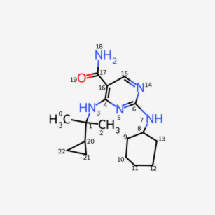 CC(C)(Nc1nc(NC2CCCCC2)ncc1C(N)=O)C1CC1